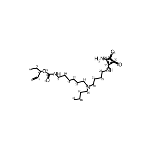 C=CC(CC)OC(=O)NCCCCCCN(CCCC)CCCCNc1c(N)c(=O)c1=O